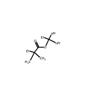 CCCC(CC)(CCC)OC(=O)C(C)(C)CC